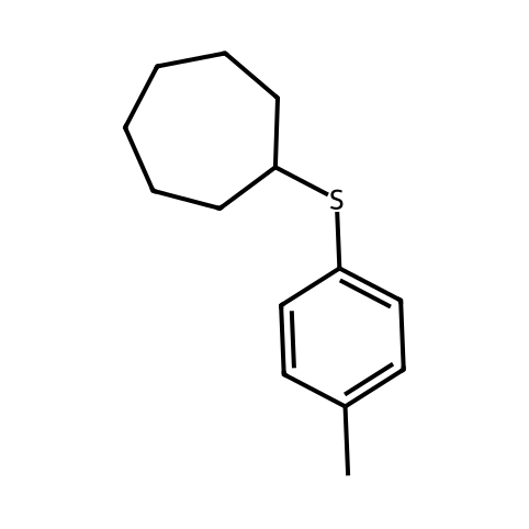 Cc1ccc(SC2CCCCCC2)cc1